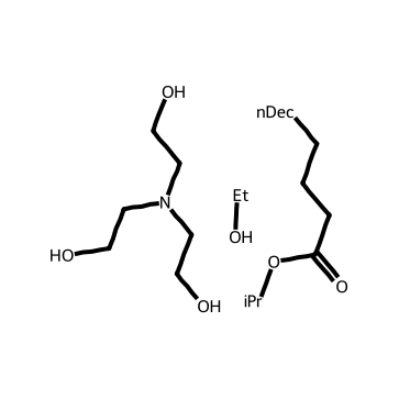 CCCCCCCCCCCCCC(=O)OC(C)C.CCO.OCCN(CCO)CCO